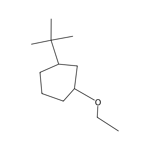 CCOC1CCCC(C(C)(C)C)C1